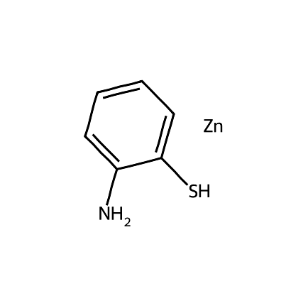 Nc1ccccc1S.[Zn]